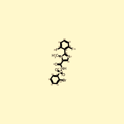 Cn1c(C(=O)NS(=O)(=O)c2ccccc2Br)cnc1-c1c(F)cccc1F